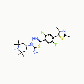 Cc1nc(C)c(-c2cc(F)c(C(=N)SC(=N)N(C)C3CC(C)(C)NC(C)(C)C3)cc2F)s1